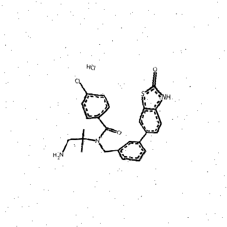 CC(C)(CN)N(Cc1cccc(-c2ccc3[nH]c(=O)sc3c2)c1)C(=O)c1ccc(Cl)cc1.Cl